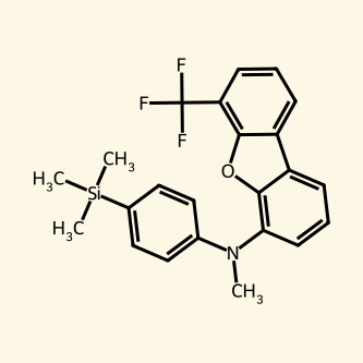 CN(c1ccc([Si](C)(C)C)cc1)c1cccc2c1oc1c(C(F)(F)F)cccc12